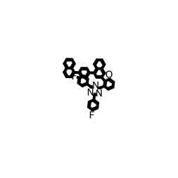 Fc1ccc(-c2nc(-c3ccc(F)cc3)nc(-c3cccc4oc5c6ccccc6c(-c6ccc(-c7cccc8ccccc78)cc6)cc5c34)n2)cc1